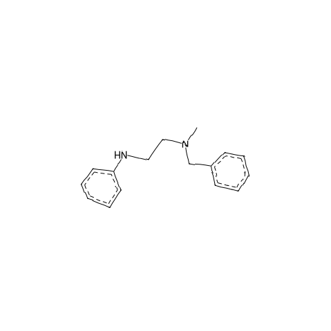 CN(CCNc1ccccc1)Cc1ccccc1